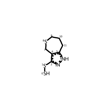 SSc1n[nH]c2c1CSCCC2